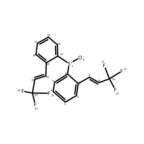 [O-][S+](c1ccccc1C=CC(F)(F)F)c1ccccc1C=CC(F)(F)F